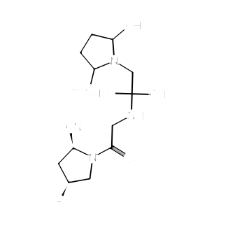 CC1CCC(C)N1CC(C)(C)NCC(=O)N1C[C@@H](F)C[C@H]1C#N